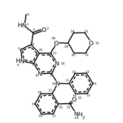 CNC(=O)c1c[nH]c2nc(N(c3ccccc3)c3ccccc3C(N)=O)nc(OC3CCOCC3)c12